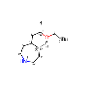 CCC(C)CO[C@@H](C)CC1CCNCC[C@H]1C